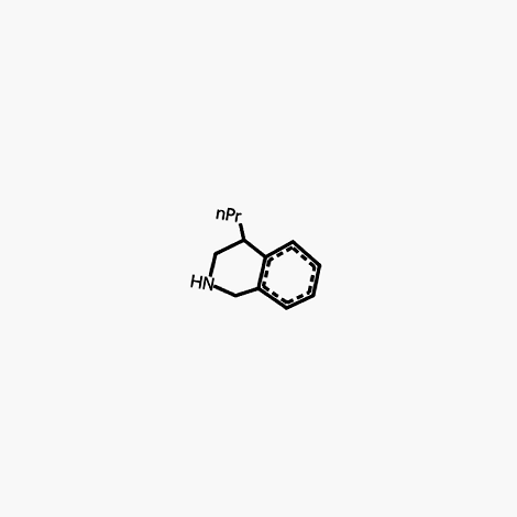 CCCC1CNCc2ccccc21